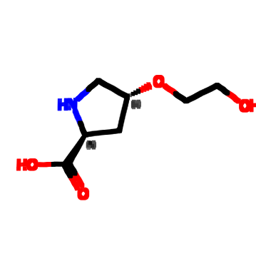 O=C(O)[C@@H]1C[C@@H](OCCO)CN1